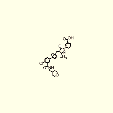 CC1=NN(c2cccc(C(=O)O)c2)C(=O)/C1=C/c1ccc(-c2ccc(Cl)c(C(=O)NCC3CCOCC3)c2)o1